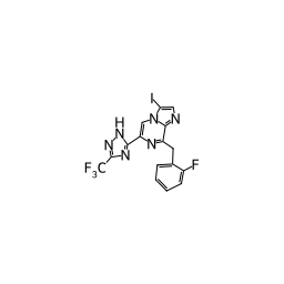 Fc1ccccc1Cc1nc(-c2nc(C(F)(F)F)n[nH]2)cn2c(I)cnc12